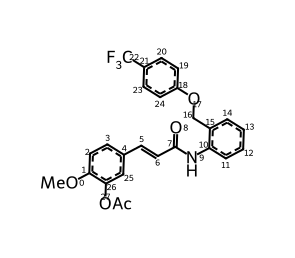 COc1ccc(C=CC(=O)Nc2ccccc2COc2ccc(C(F)(F)F)cc2)cc1OC(C)=O